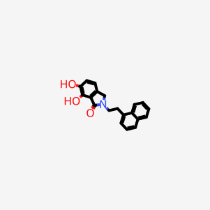 O=C1c2c(ccc(O)c2O)CN1CCc1cccc2ccccc12